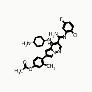 CC(=O)Oc1ccc(-c2cc3c(N[C@H]4CC[C@H](N)CC4)c(C(N)=Nc4cc(F)ccc4Cl)cnn3c2)c(C)c1